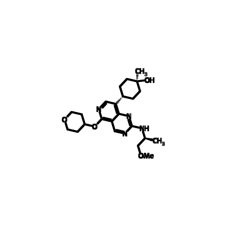 COC[C@H](C)Nc1ncc2c(OC3CCOCC3)ncc([C@H]3CC[C@](C)(O)CC3)c2n1